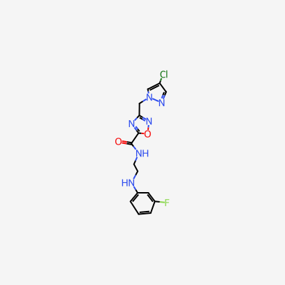 O=C(NCCNc1cccc(F)c1)c1nc(Cn2cc(Cl)cn2)no1